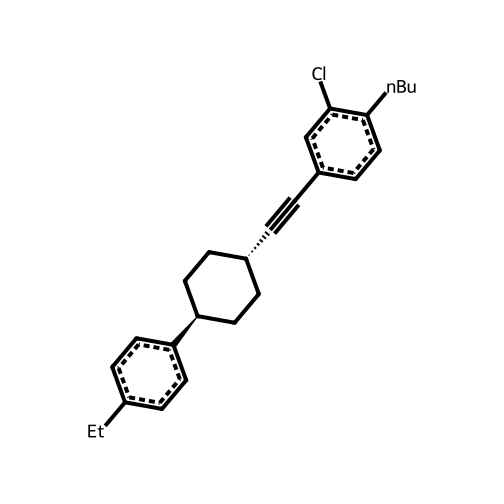 CCCCc1ccc(C#C[C@H]2CC[C@H](c3ccc(CC)cc3)CC2)cc1Cl